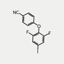 N#Cc1ccc(Oc2c(F)cc(I)cc2F)cc1